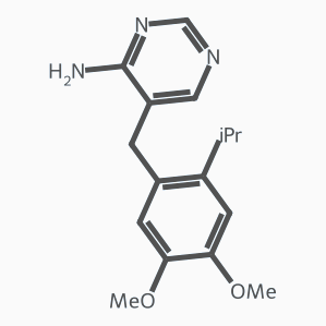 COc1cc(Cc2cncnc2N)c(C(C)C)cc1OC